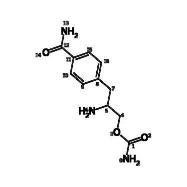 NC(=O)OCC(N)Cc1ccc(C(N)=O)cc1